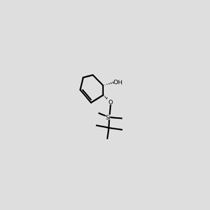 CC(C)(C)[Si](C)(C)O[C@@H]1C=CCC[C@@H]1O